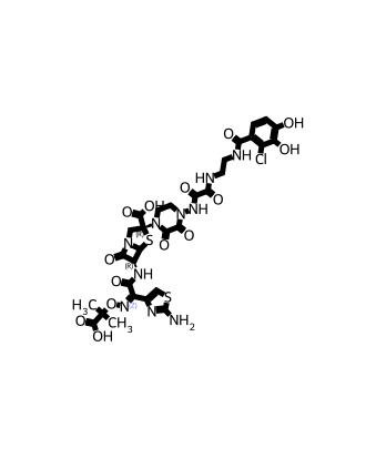 CC(C)(O/N=C(\C(=O)N[C@@H]1C(=O)N2C[C@@](C(=O)O)(N3CCN(NC(=O)C(=O)NCCNC(=O)c4ccc(O)c(O)c4Cl)C(=O)C3=O)SC12)c1csc(N)n1)C(=O)O